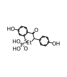 CCC(C(=O)c1ccc(O)cc1SP(=O)(O)O)c1ccc(O)cc1